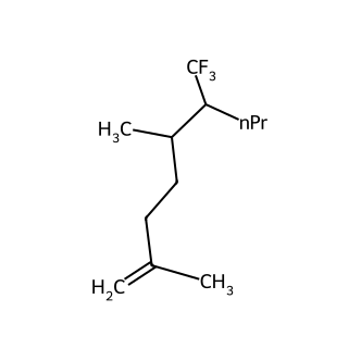 C=C(C)CCC(C)C(CCC)C(F)(F)F